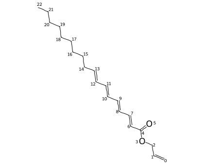 C=CCOC(=O)/C=C/C=C/C=C/C=C/CCCCCCCCC